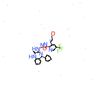 C=C1Nc2ccccc2C(c2ccccc2)=N[C@@H]1Nc1nnc(-c2ncc(C(F)(F)F)cc2/C=C/COC)o1